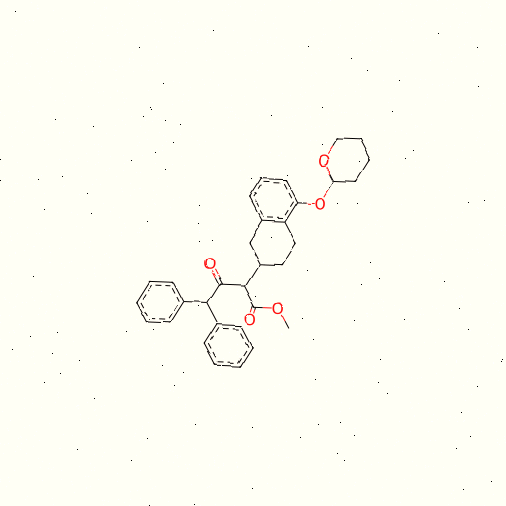 COC(=O)C(C(=O)C(c1ccccc1)c1ccccc1)C1CCc2c(cccc2OC2CCCCO2)C1